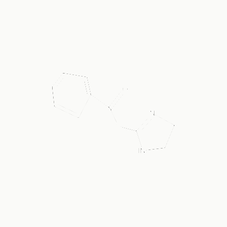 O=C(OC1=NCCN1)c1ccccc1